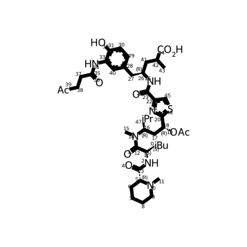 CC[C@H](C)[C@H](NC(=O)[C@H]1CCCCN1C)C(=O)N(C)[C@H](C[C@@H](OC(C)=O)c1nc(C(=O)N[C@@H](Cc2ccc(O)c(NC(=O)CCC(C)=O)c2)CC(C)C(=O)O)cs1)C(C)C